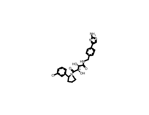 Nc1nc(-c2ccc(CNC(=O)[C@H](O)[C@@H](O)C(=O)N3CCCC3c3cccc(Cl)c3)cc2)cs1